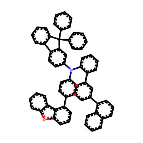 c1ccc(C2(c3ccccc3)c3ccccc3-c3ccc(N(c4ccc(-c5cccc6oc7ccccc7c56)cc4)c4ccccc4-c4cccc(-c5cccc6ccccc56)c4)cc32)cc1